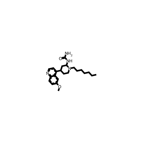 CCCCCCCN1CCC(c2ccnc3ccc(OC)cc23)CC1NC(N)=O